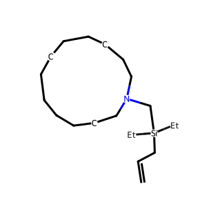 C=CC[Si](CC)(CC)CN1CCCCCCCCCCCC1